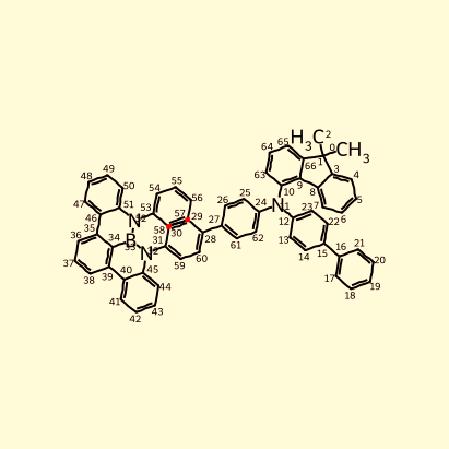 CC1(C)c2ccccc2-c2c(N(c3ccc(-c4ccccc4)cc3)c3ccc(-c4ccc(N5B6c7c(cccc7-c7ccccc75)-c5ccccc5N6c5ccccc5)cc4)cc3)cccc21